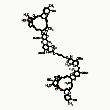 CC[C@H](C)[C@H]1O[C@]2(C=C[C@@H]1C)CC1C[C@@H](C/C=C(\C)[C@@H](O[C@H]3C[C@H](OC)[C@@H](O[C@H]4C[C@H](OC)[C@H](NC(=O)OCCCCOC(=O)N[C@@H]5[C@H](C)O[C@@H](OC6[C@H](C)O[C@@H](OC7/C(C)=C/C[C@@H]8C[C@@H](C[C@]9(C=C[C@H](C)[C@@H]([C@@H](C)CC)O9)O8)OC(=O)[C@@H]8C=C(C)[C@@H](O)[C@H]9OC/C(=C\C=C\[C@@H]7C)[C@]98O)C[C@@H]6OC)C[C@@H]5OC)[C@H](C)O4)[C@H](C)O3)[C@@H](C)/C=C/C=C3\CO[C@@H]4[C@H](O)C(C)=C[C@@H](C(=O)O1)[C@]34O)O2